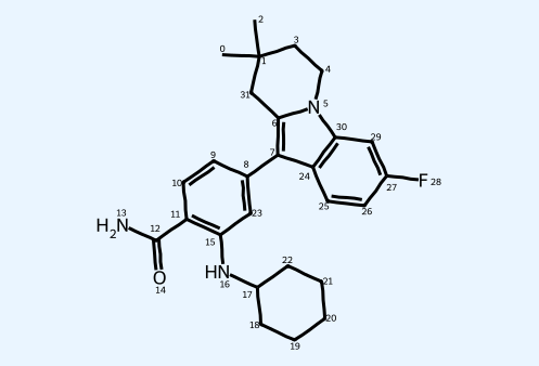 CC1(C)CCn2c(c(-c3ccc(C(N)=O)c(NC4CCCCC4)c3)c3ccc(F)cc32)C1